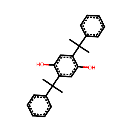 CC(C)(c1ccccc1)c1cc(O)c(C(C)(C)c2ccccc2)cc1O